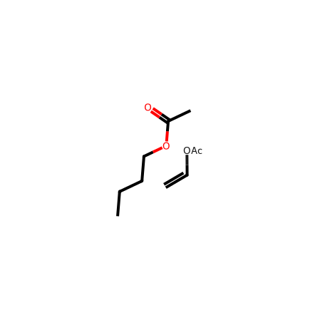 C=COC(C)=O.CCCCOC(C)=O